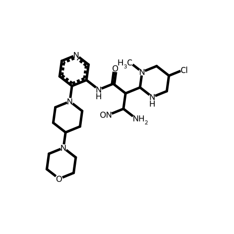 CN1CC(Cl)CNC1C(C(=O)Nc1cnccc1N1CCC(N2CCOCC2)CC1)C(N)N=O